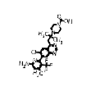 Cc1cc(N)nc(-c2cc3ncnc(CC(C)(C)N4CCN(C(=O)O)CC4)c3cc2Cl)c1C(F)(F)F